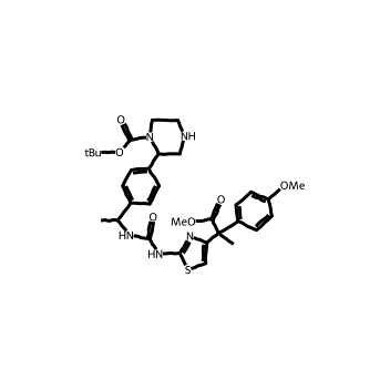 COC(=O)C(C)(c1ccc(OC)cc1)c1csc(NC(=O)NC(C)c2ccc(C3CNCCN3C(=O)OC(C)(C)C)cc2)n1